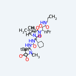 C=CCNC(=O)C(=O)C(CCC)NC(=O)[C@@H]1[C@@H]2[C@H](CN1C(=O)[C@@H](NC(=O)N[C@H](CN(C)c1c(C(C)C)c(=O)c1=O)C(C)(C)C)C1CCCCC1)C2(C)C